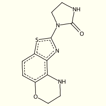 O=C1NCCN1c1nc2c3c(ccc2s1)OCCN3